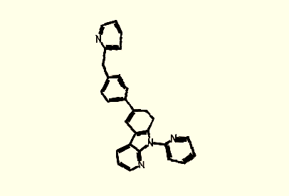 C1=C(c2ccc(Cc3ccccn3)cc2)CCc2c1c1cccnc1n2-c1ccccn1